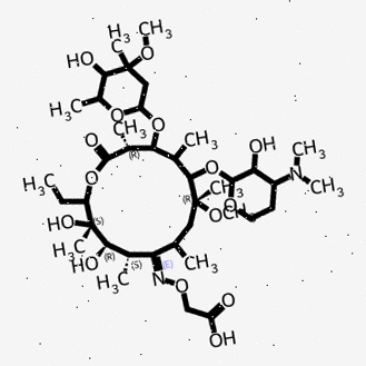 CCC1OC(=O)[C@H](C)C(OC2CC(C)(OC)C(O)C(C)O2)C(C)C(OC2OCCC(N(C)C)C2O)[C@](C)(OC)CC(C)/C(=N\OCC(=O)O)[C@H](C)[C@@H](O)[C@]1(C)O